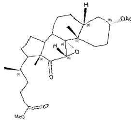 COC(=O)CC[C@@H](C)C1CCC2C3CC[C@@H]4C[C@H](OC(C)=O)CC[C@]4(C)[C@]34O[C@@H]4C(=O)[C@@]21C